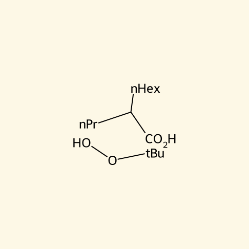 CC(C)(C)OO.CCCCCCC(CCC)C(=O)O